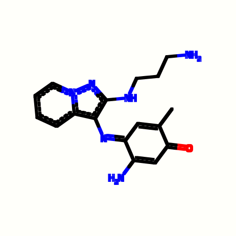 CC1=C/C(=N\c2c(NCCCN)nn3ccccc23)C(N)=CC1=O